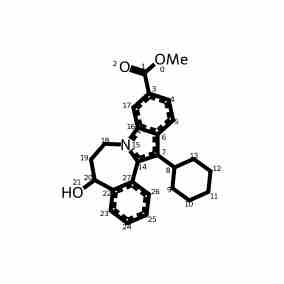 COC(=O)c1ccc2c(C3CCCCC3)c3n(c2c1)CCC(O)c1ccccc1-3